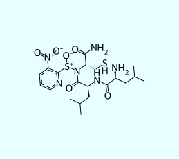 CC(C)C[C@H](NC(=O)[C@@H](N)CC(C)C)C(=O)N([C@@H](CS)C(N)=O)[S+]([O-])c1ncccc1[N+](=O)[O-]